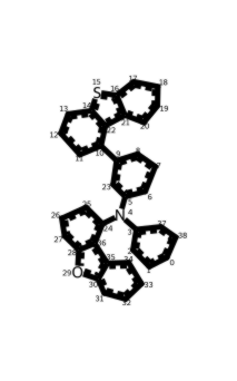 c1ccc(N(c2cccc(-c3cccc4sc5ccccc5c34)c2)c2cccc3oc4ccccc4c23)cc1